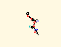 CC(=O)NCCc1ccc(F)cc1OCCOC1CNCCC1c1ccc(OCCCOc2ccccc2)cc1